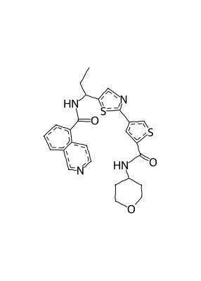 CCC(NC(=O)c1cccc2cnccc12)c1cnc(-c2csc(C(=O)NC3CCOCC3)c2)s1